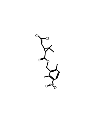 Cc1ccc([N+](=O)[O-])c(C)c1COC(=O)C1C(C=C(Cl)Cl)C1(C)C